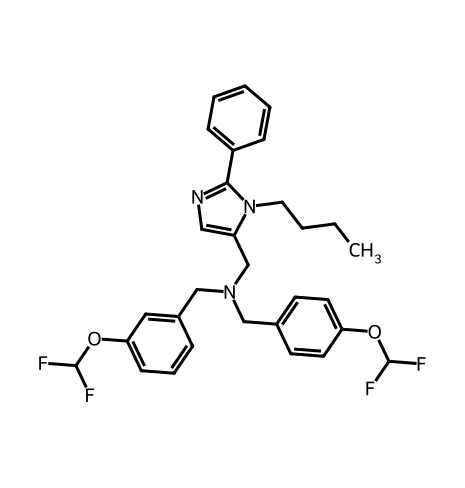 CCCCn1c(CN(Cc2ccc(OC(F)F)cc2)Cc2cccc(OC(F)F)c2)cnc1-c1ccccc1